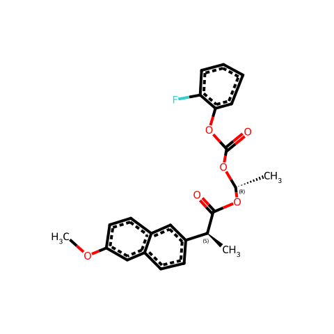 COc1ccc2cc([C@H](C)C(=O)O[C@@H](C)OC(=O)Oc3ccccc3F)ccc2c1